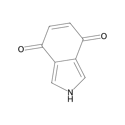 O=C1C=CC(=O)c2c[nH]cc21